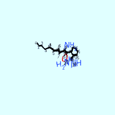 CCCCCCCCC(N)C(=O)c1ccccc1C(=N)N